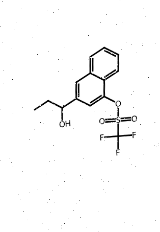 CCC(O)c1cc(OS(=O)(=O)C(F)(F)F)c2ccccc2c1